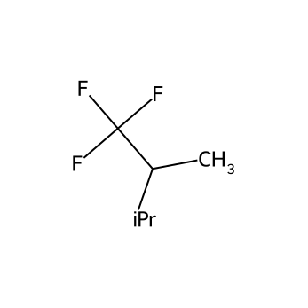 CC(C)C(C)C(F)(F)F